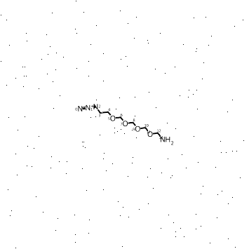 [N-]=[N+]=NCCOCOCOCOCN